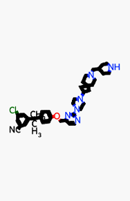 CC(C)(c1ccc(OCc2ccnc(N3CCN(C4CC5(CCN(CC6CCNCC6)CC5)C4)CC3)n2)cc1)c1cc(Cl)cc(C#N)c1